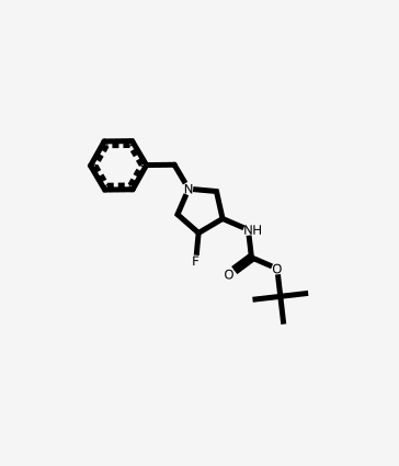 CC(C)(C)OC(=O)NC1CN(Cc2ccccc2)CC1F